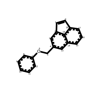 C1=Cc2cc(COc3ccccc3)cc3cccc1c23